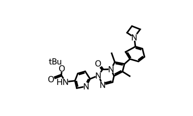 Cc1c(-c2cccc(N3CCC3)c2)c(C)n2c(=O)n(-c3ccc(NC(=O)OC(C)(C)C)cn3)ncc12